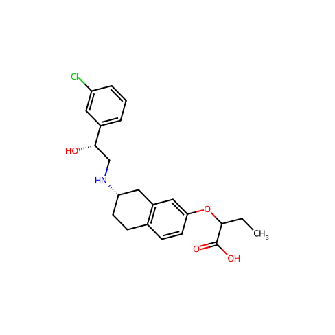 CCC(Oc1ccc2c(c1)C[C@@H](NC[C@H](O)c1cccc(Cl)c1)CC2)C(=O)O